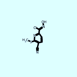 CSc1nc(C(Cl)=NO)ccc1C#N